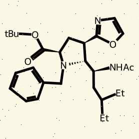 CCC(CC)C[C@H](NC(C)=O)[C@H]1[C@H](c2ncco2)C[C@H](C(=O)OC(C)(C)C)N1Cc1ccccc1